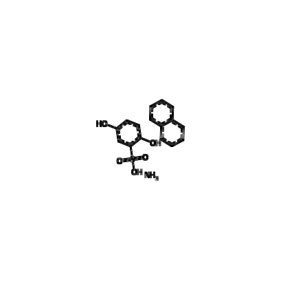 N.O=S(=O)(O)c1cc(O)ccc1O.c1ccc2ccccc2c1